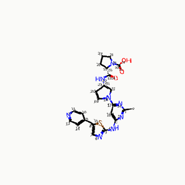 Cc1nc(Nc2ncc(-c3ccncc3)s2)cc(N2CC[C@H](NC(=O)[C@@H]3CCCN3C(=O)O)C2)n1